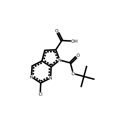 CC(C)(C)OC(=O)n1c(C(=O)O)cc2cnc(Cl)nc21